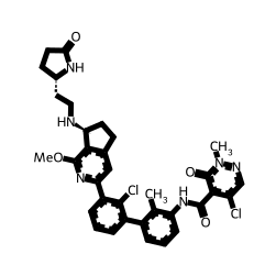 COc1nc(-c2cccc(-c3cccc(NC(=O)c4c(Cl)cnn(C)c4=O)c3C)c2Cl)cc2c1[C@@H](NCC[C@@H]1CCC(=O)N1)CC2